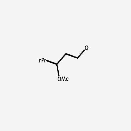 CCCC(CC[O])OC